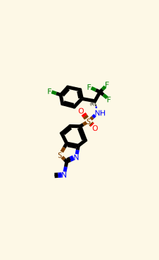 C=Nc1nc2cc(S(=O)(=O)N[C@H](c3ccc(F)cc3)C(F)(F)F)ccc2s1